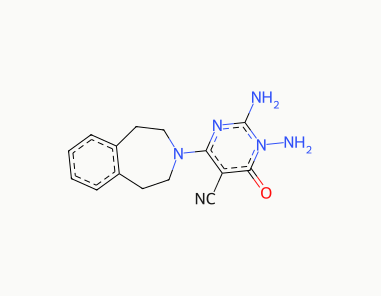 N#Cc1c(N2CCc3ccccc3CC2)nc(N)n(N)c1=O